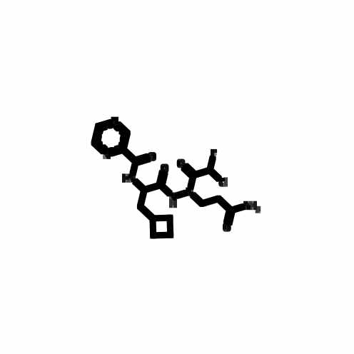 NC(=O)CCN(NC(=O)C(CC1CCC1)NC(=O)c1cnccn1)C(=O)C(F)Cl